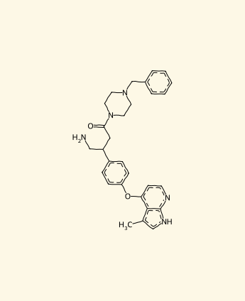 Cc1c[nH]c2nccc(Oc3ccc(C(CN)CC(=O)N4CCN(Cc5ccccc5)CC4)cc3)c12